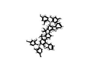 Cc1ccc(N(c2ccc(C)cc2C)c2cc3c(c4c2oc2ccccc24)-c2ccc4c(c2C3(C)C)C(C)(C)c2cc(N(c3ccc(C)cc3C)c3ccc(C)cc3C)c3c(oc5ccccc53)c2-4)c(C)c1